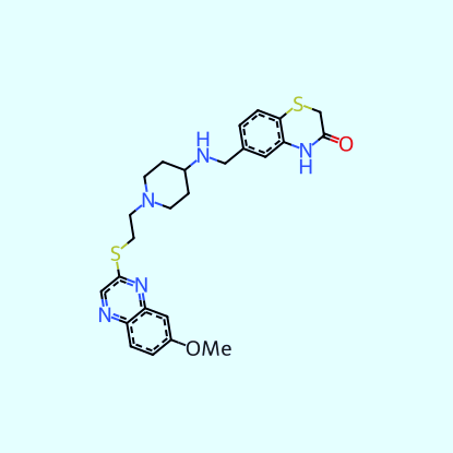 COc1ccc2ncc(SCCN3CCC(NCc4ccc5c(c4)NC(=O)CS5)CC3)nc2c1